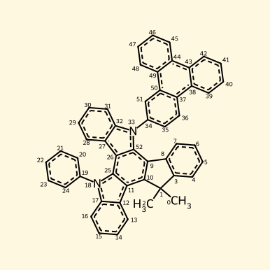 CC1(C)c2ccccc2-c2c1c1c3ccccc3n(-c3ccccc3)c1c1c3ccccc3n(-c3ccc4c5ccccc5c5ccccc5c4c3)c21